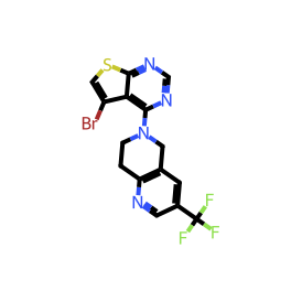 FC(F)(F)c1cnc2c(c1)CN(c1ncnc3scc(Br)c13)CC2